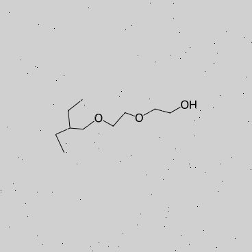 CCC(CC)COCCOCCO